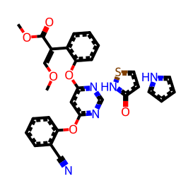 CO/C=C(/C(=O)OC)c1ccccc1Oc1cc(Oc2ccccc2C#N)ncn1.O=c1ccs[nH]1.c1cc[nH]c1